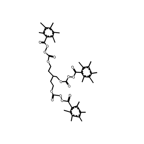 Cc1c(C)c(C)c(C(=O)OOC(=O)OCCC(CCOC(=O)OOC(=O)c2c(C)c(C)c(C)c(C)c2C)COC(=O)OOC(=O)c2c(C)c(C)c(C)c(C)c2C)c(C)c1C